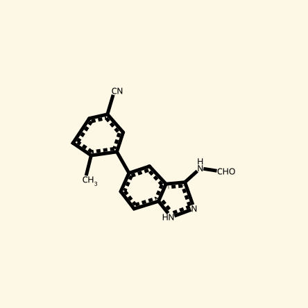 Cc1ccc(C#N)cc1-c1ccc2[nH]nc(NC=O)c2c1